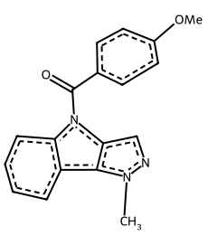 COc1ccc(C(=O)n2c3ccccc3c3c2cnn3C)cc1